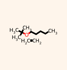 C=C.CCCCCOC(C)(C)C